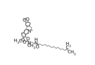 C=C(C)CCCCCCCCCCCCC(=O)NCCN(C)C(=O)Oc1c(OC)ccc2cc3[n+](cc12)CCc1cc2c(cc1-3)OCO2